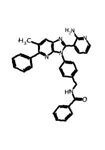 Cc1cc2nc(-c3cccnc3N)n(-c3ccc(CNC(=O)c4ccccc4)cc3)c2nc1-c1ccccc1